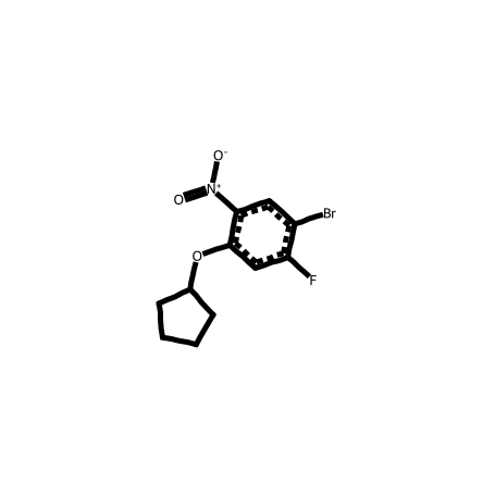 O=[N+]([O-])c1cc(Br)c(F)cc1OC1CCCC1